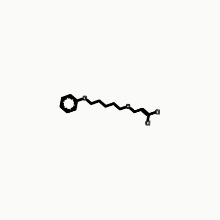 ClC(Cl)=CCOCCCCCOc1ccccc1